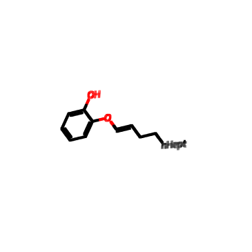 CCCCCCCCCC=COc1ccccc1O